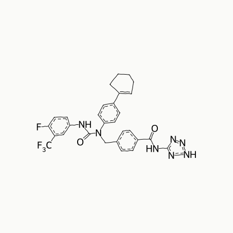 O=C(Nc1nn[nH]n1)c1ccc(CN(C(=O)Nc2ccc(F)c(C(F)(F)F)c2)c2ccc(C3=CCCCC3)cc2)cc1